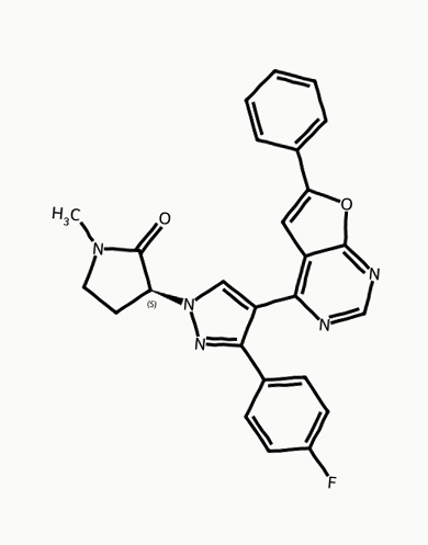 CN1CC[C@H](n2cc(-c3ncnc4oc(-c5ccccc5)cc34)c(-c3ccc(F)cc3)n2)C1=O